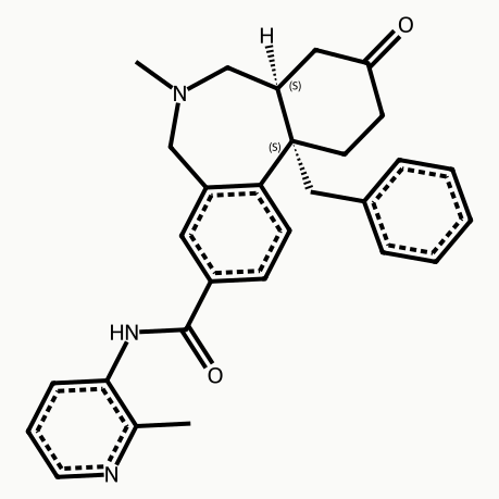 Cc1ncccc1NC(=O)c1ccc2c(c1)CN(C)C[C@H]1CC(=O)CC[C@@]21Cc1ccccc1